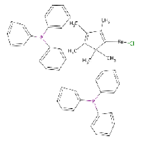 CC1=C(C)C(C)(C)[C]([Ru][Cl])=C1C.c1ccc(P(c2ccccc2)c2ccccc2)cc1.c1ccc(P(c2ccccc2)c2ccccc2)cc1